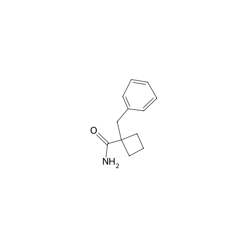 NC(=O)C1(Cc2ccccc2)CCC1